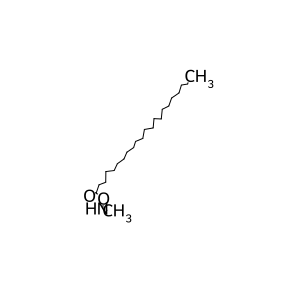 CCCCCCCCCCCCCCCCCCCCCC(=O)ONC